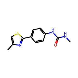 CNC(=O)Nc1ccc(-c2nc(C)cs2)cc1